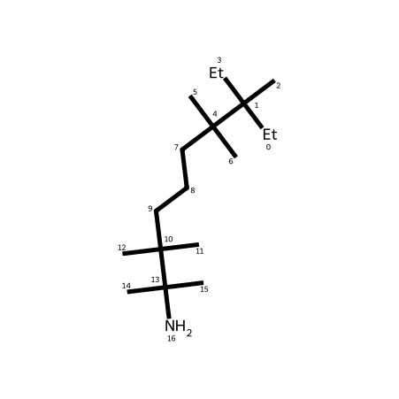 CCC(C)(CC)C(C)(C)CCCC(C)(C)C(C)(C)N